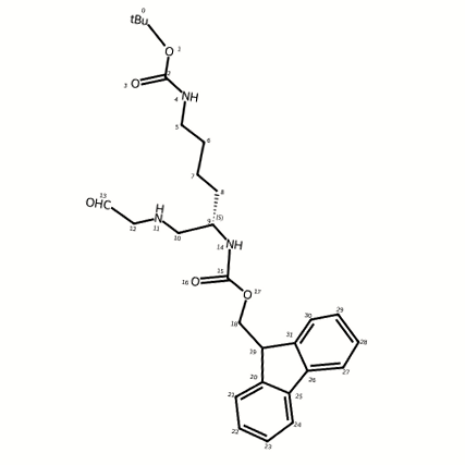 CC(C)(C)OC(=O)NCCCC[C@@H](CNCC=O)NC(=O)OCC1c2ccccc2-c2ccccc21